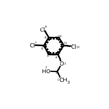 CC(O)Oc1cc(Cl)c(Cl)cc1Cl